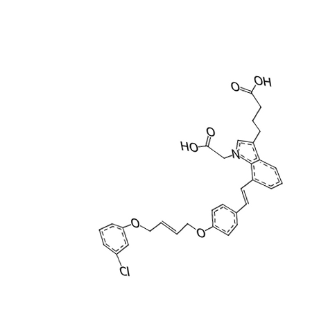 O=C(O)CCCc1cn(CC(=O)O)c2c(C=Cc3ccc(OC/C=C/COc4cccc(Cl)c4)cc3)cccc12